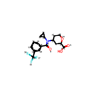 O=C(O)C1CC(N(C(=O)c2cccc(C(F)(F)F)c2)C2CC2)CCO1